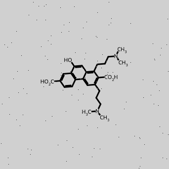 CN(C)CCCc1cc2c(cc(O)c3cc(C(=O)O)ccc32)c(CCCN(C)C)c1C(=O)O